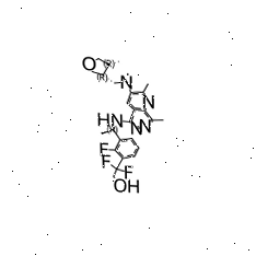 Cc1nc2c(C)nnc(N[C@H](C)c3cccc(C(F)(F)CO)c3F)c2cc1N(C)C[C@@H]1COC[C@@H]1C